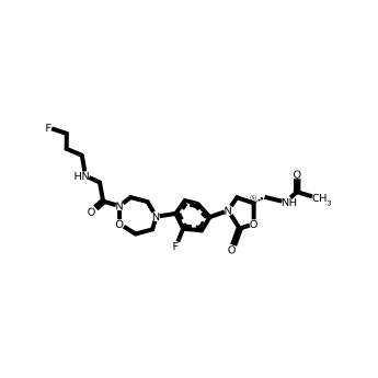 CC(=O)NC[C@H]1CN(c2ccc(N3CCON(C(=O)CNCCCF)CC3)c(F)c2)C(=O)O1